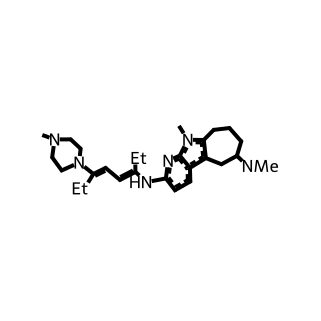 CC/C(=C\C=C(/CC)N1CCN(C)CC1)Nc1ccc2c3c(n(C)c2n1)CCCC(NC)C3